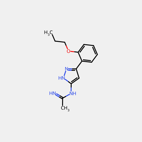 CCCOc1ccccc1-c1cc(NC(C)=N)[nH]n1